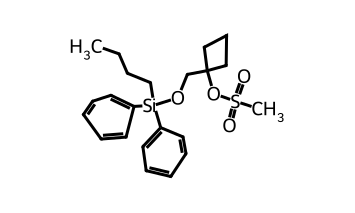 CCCC[Si](OCC1(OS(C)(=O)=O)CCC1)(c1ccccc1)c1ccccc1